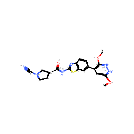 COC1=CC(c2ccc3nc(NC(=O)[C@H]4CCN(C#N)C4)sc3c2)=C(OC)NN1